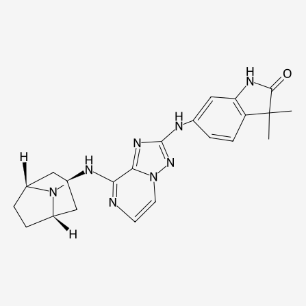 CN1[C@@H]2CC[C@H]1C[C@H](Nc1nccn3nc(Nc4ccc5c(c4)NC(=O)C5(C)C)nc13)C2